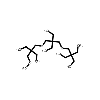 CCC(CO)(CO)COCC(CO)(CO)COCC(CO)(CO)COC